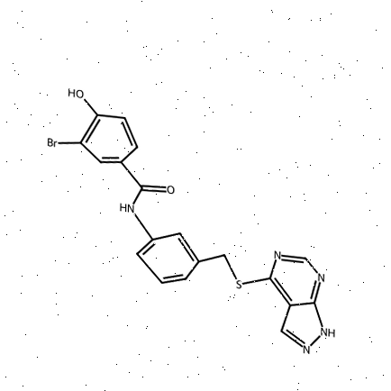 O=C(Nc1cccc(CSc2ncnc3[nH]ncc23)c1)c1ccc(O)c(Br)c1